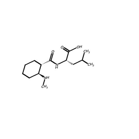 CN[C@H]1CCCC[C@@H]1C(=O)N[C@@H](CC(C)C)C(=O)O